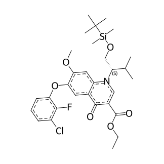 CCOC(=O)c1cn([C@H](CO[Si](C)(C)C(C)(C)C)C(C)C)c2cc(OC)c(Oc3cccc(Cl)c3F)cc2c1=O